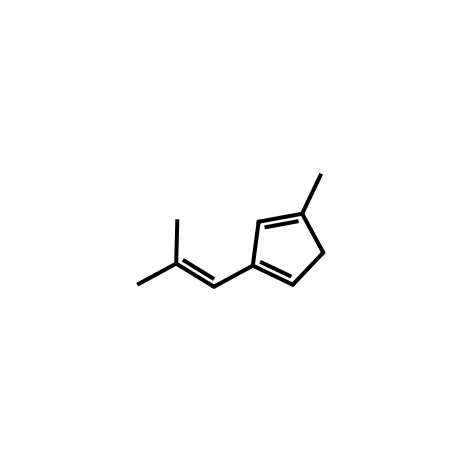 CC(C)=CC1=CCC(C)=C1